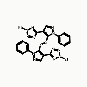 CCn1nnc(-c2cnn(-c3ccccc3)c2SSc2c(-c3nnn(CC)n3)cnn2-c2ccccc2)n1